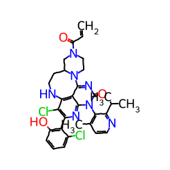 C=CC(=O)N1CCN2c3nc(=O)n(-c4c(C)ccnc4C(C)C)c4nc(-c5c(O)cccc5Cl)c(Cl)c(c34)NCCC2C1